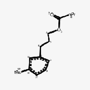 CCCC(=O)OCCCc1cccc(C(C)(C)C)c1